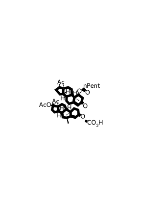 CC(=O)O.CC(=O)O[C@]1(C(C)=O)CC[C@H]2[C@@H]3C[C@H](C)C4=CC(=O)CC[C@]4(C)[C@H]3CC[C@@]21C.CCCCCC(=O)OC1CC(=O)C=C2CC[C@H]3[C@@H]4CC[C@H](C(C)=O)[C@@]4(C)CC[C@@H]3[C@]21C